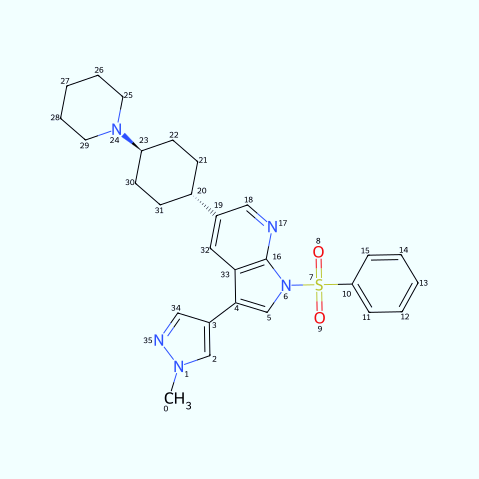 Cn1cc(-c2cn(S(=O)(=O)c3ccccc3)c3ncc([C@H]4CC[C@H](N5CCCCC5)CC4)cc23)cn1